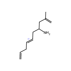 C=CC/C=C/CC(N)CC(=C)C